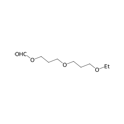 CCOCCCOCCCO[C]=O